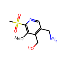 COc1c(S(C)(=O)=O)ncc(CN)c1CO